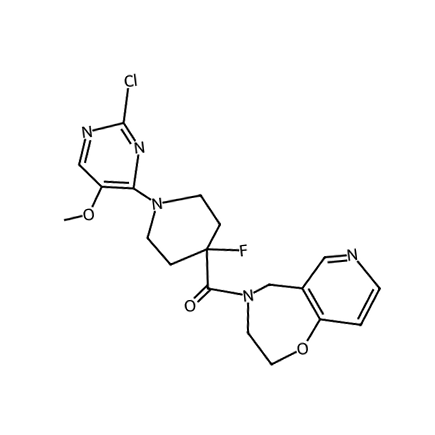 COc1cnc(Cl)nc1N1CCC(F)(C(=O)N2CCOc3ccncc3C2)CC1